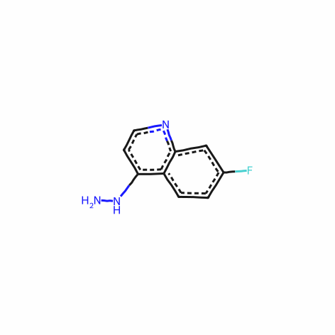 NNc1ccnc2cc(F)ccc12